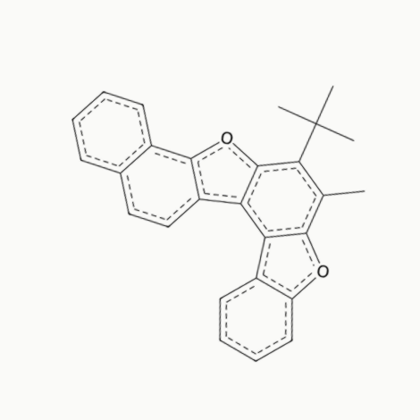 Cc1c(C(C)(C)C)c2oc3c4ccccc4ccc3c2c2c1oc1ccccc12